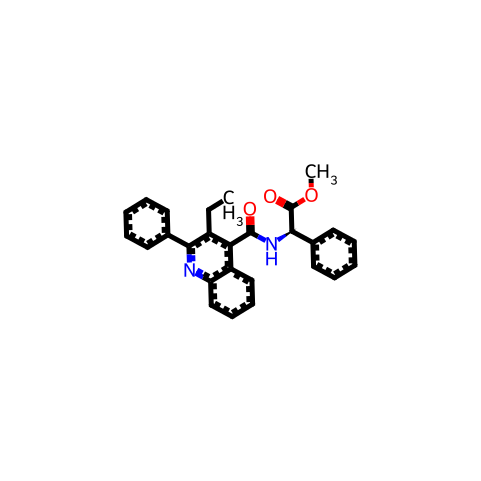 CCc1c(-c2ccccc2)nc2ccccc2c1C(=O)N[C@@H](C(=O)OC)c1ccccc1